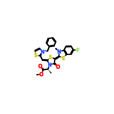 COC(=O)[C@@H](C)n1c(=O)/c(=C2\Sc3cc(F)ccc3N2C)s/c1=C\c1scc[n+]1Cc1ccccc1